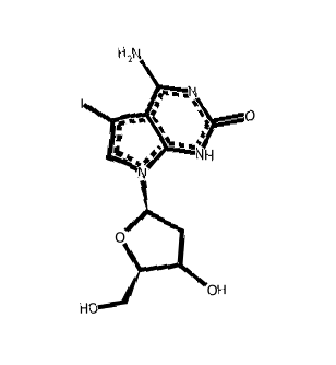 Nc1nc(=O)[nH]c2c1c(I)cn2[C@H]1CC(O)[C@@H](CO)O1